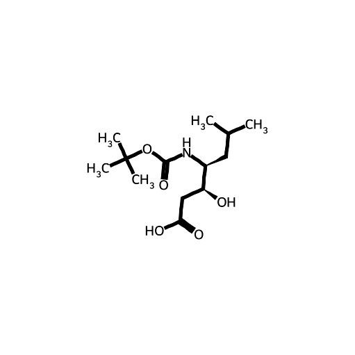 CC(C)C[C@H](NC(=O)OC(C)(C)C)[C@@H](O)CC(=O)O